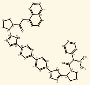 CN(C)[C@@H](C(=O)N1CCC[C@H]1c1ncc(-c2ccc(-c3ccc(-c4cnc([C@@H]5CCCN5C(=O)Cc5cccc6ccccc56)[nH]4)cc3)cc2)[nH]1)c1ccccc1